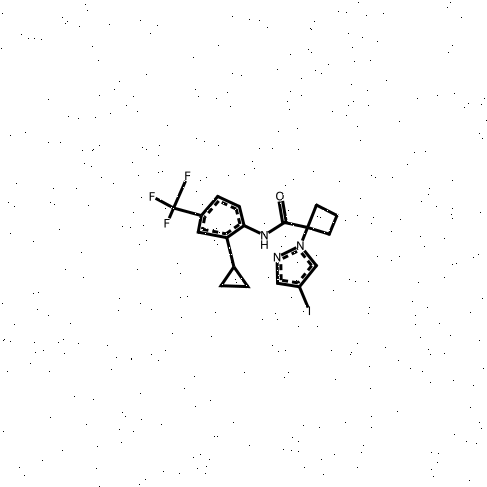 O=C(Nc1ccc(C(F)(F)F)cc1C1CC1)C1(n2cc(I)cn2)CCC1